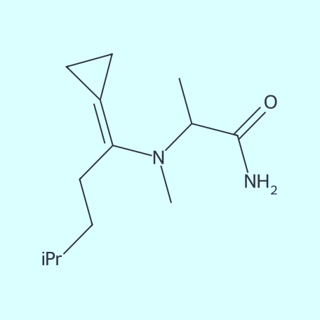 CC(C)CCC(=C1CC1)N(C)C(C)C(N)=O